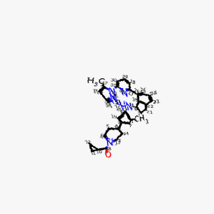 Cc1cc(C2CCN(C(=O)C3CC3)CC2)ccc1N[C@H]1CCc2cccc(-c3cccc(-n4nccc4C)n3)c21